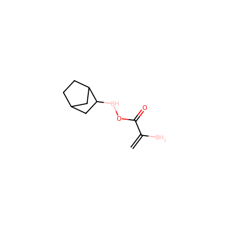 BC(=C)C(=O)OBC1CC2CCC1C2